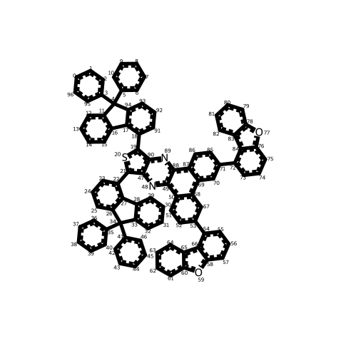 c1ccc(C2(c3ccccc3)c3ccccc3-c3c(-c4sc(-c5cccc6c5-c5ccccc5C6(c5ccccc5)c5ccccc5)c5nc6c7ccc(-c8cccc9oc%10ccccc%10c89)cc7c7cc(-c8cccc9oc%10ccccc%10c89)ccc7c6nc45)cccc32)cc1